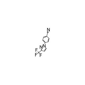 N#Cc1ccc(-n2ccc(C(F)(F)F)n2)cc1